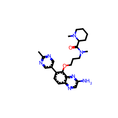 Cc1ncc(-c2ccc3ncc(N)nc3c2OCCCN(C)C(=O)C2CCCCN2C)cn1